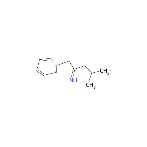 [CH2]C(C)CC(=N)Cc1ccccc1